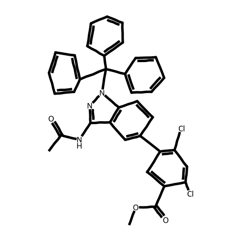 COC(=O)c1cc(-c2ccc3c(c2)c(NC(C)=O)nn3C(c2ccccc2)(c2ccccc2)c2ccccc2)c(Cl)cc1Cl